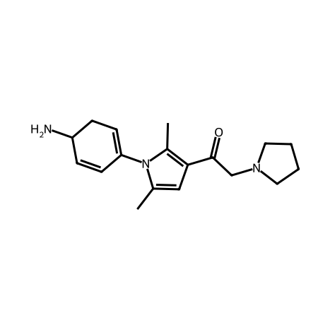 Cc1cc(C(=O)CN2CCCC2)c(C)n1C1=CCC(N)C=C1